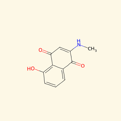 CNC1=CC(=O)c2c(O)cccc2C1=O